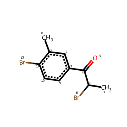 Cc1cc(C(=O)C(C)Br)ccc1Br